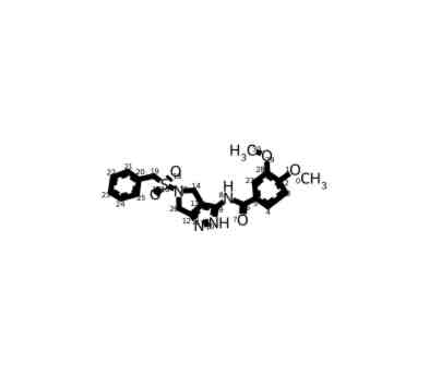 COc1ccc(C(=O)Nc2[nH]nc3c2CN(S(=O)(=O)Cc2ccccc2)C3)cc1OC